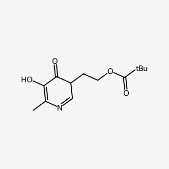 CC1=C(O)C(=O)C(CCOC(=O)C(C)(C)C)C=N1